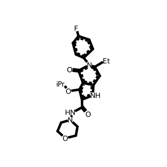 CCc1cc2[nH]c(C(=O)NN3CCOCC3)c(OC(C)C)c2c(=O)n1-c1ccc(F)cc1